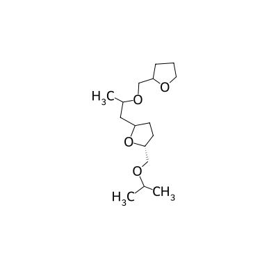 CC(C)OC[C@H]1CCC(CC(C)OCC2CCCO2)O1